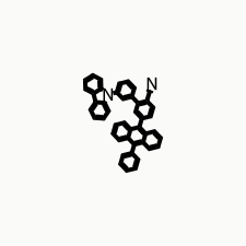 N#Cc1ccc(-c2c3ccccc3c(-c3ccccc3)c3ccccc23)cc1-c1cccc(-n2c3ccccc3c3ccccc32)c1